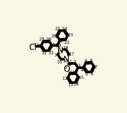 O=C(CC(c1ccccc1)c1ccccc1)N1CCN([C@@H](c2ccccc2)c2ccc(Cl)cc2)CC1